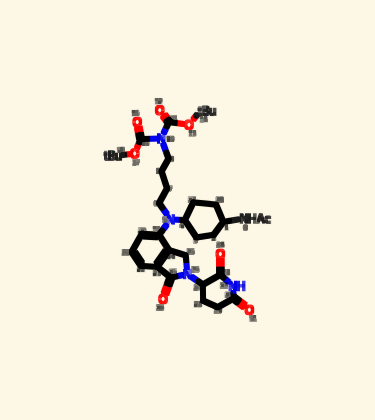 CC(=O)NC1CCC(N(CCCCN(C(=O)OC(C)(C)C)C(=O)OC(C)(C)C)c2cccc3c2CN(C2CCC(=O)NC2=O)C3=O)CC1